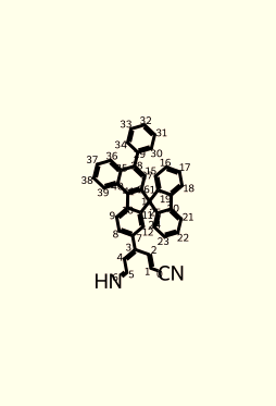 N#C/C=C/C(=C\C=N)c1ccc2c(c1)C1(c3ccccc3-c3ccccc31)c1cc(-c3ccccc3)c3ccccc3c1-2